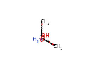 CCCCCCCCCCCCCCCCC(CC(CCCCCCCCCCCCCCCC)C(=O)O)C(N)=O